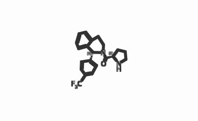 O=C([C@H]1CCCN1)N1CCc2ccccc2[C@H]1c1ccc(C(F)(F)F)cc1